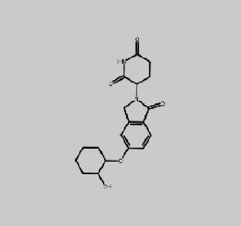 O=C1CCC(N2Cc3cc(OC4CCCCC4O)ccc3C2=O)C(=O)N1